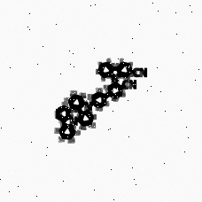 N#Cc1ccc2c3ccccc3n(-c3cc(-c4ccc(-n5c6ccccc6c6c(-n7c8ccccc8c8ccccc87)cccc65)cc4)ccc3C#N)c2c1